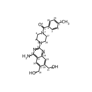 Cc1ccc(C(=O)N2CCN(c3nc(N)c4cc(CO)c(CO)cc4n3)CC2)cc1